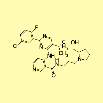 CC(C)c1cnc(-c2cc(Cl)ccc2F)nc1Nc1ccncc1C(=O)NCCCN1CCCC1CO